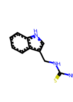 NC(=S)NCc1c[nH]c2ccccc12